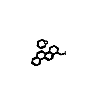 C1=CCOC=C1.ICC1CCCc2c1ccc1c2ccc2ccccc21